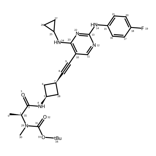 C[C@@H](C(=O)N[C@H]1C[C@@H](C#Cc2cnc(Nc3ccc(F)cc3)nc2NC2CC2)C1)N(C)C(=O)OC(C)(C)C